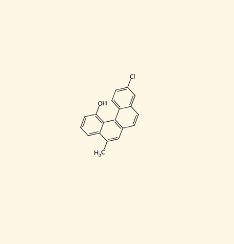 Cc1cc2ccc3cc(Cl)ccc3c2c2c(O)cccc12